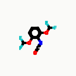 O=C=Nc1c(OC(F)F)cccc1OC(F)F